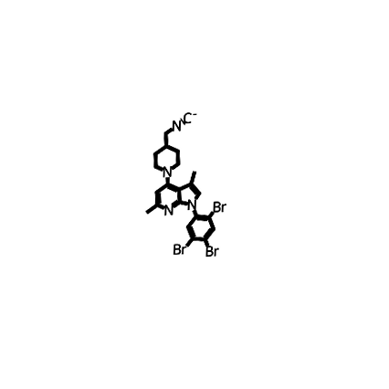 [C-]#[N+]CC1CCN(c2cc(C)nc3c2c(C)cn3-c2cc(Br)c(Br)cc2Br)CC1